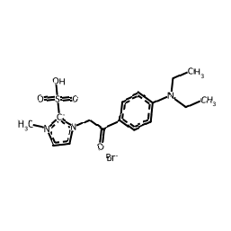 CCN(CC)c1ccc(C(=O)Cn2ccn(C)[c+]2S(=O)(=O)O)cc1.[Br-]